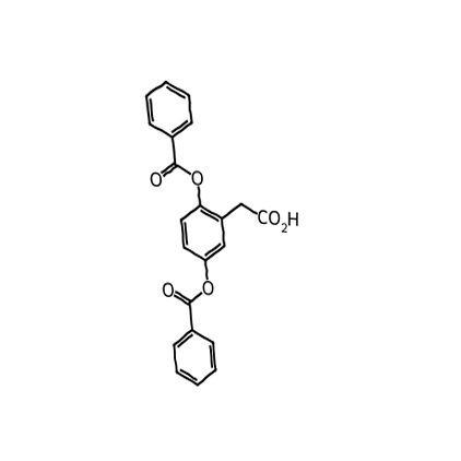 O=C(O)Cc1cc(OC(=O)c2ccccc2)ccc1OC(=O)c1ccccc1